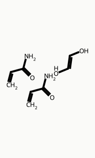 C=CC(N)=O.C=CC(N)=O.OC=CO